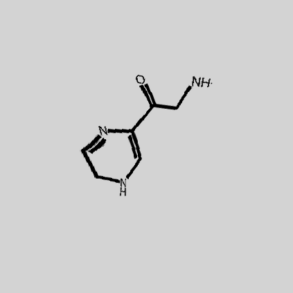 [NH]CC(=O)C1=CNCC=N1